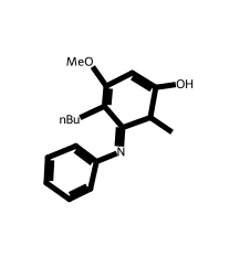 CCCCC1=C(OC)C=C(O)C(C)C1=Nc1ccccc1